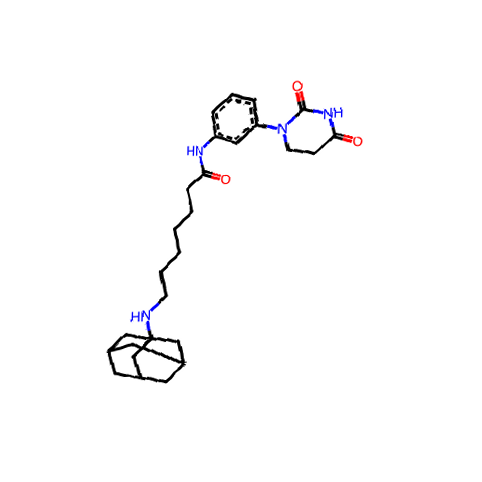 O=C1CCN(c2cccc(NC(=O)CCCCCCNC34CC5CC(CC(C5)C3)C4)c2)C(=O)N1